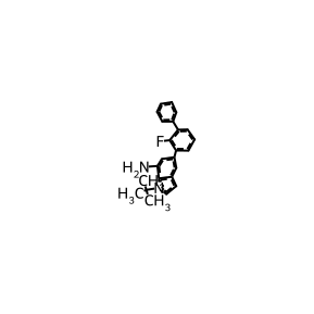 CC(C)(C)n1ccc2cc(-c3cccc(-c4ccccc4)c3F)cc(N)c21